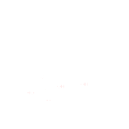 C=Cc1ccccc1.O=S(=O)(O)O.Oc1ccccc1